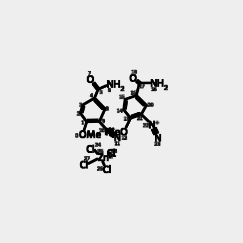 COc1ccc(C(N)=O)cc1[N+]#N.COc1ccc(C(N)=O)cc1[N+]#N.[Cl][Zn-2]([Cl])([Cl])[Cl]